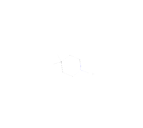 CN1CCC(C)(C(F)(F)F)CC1